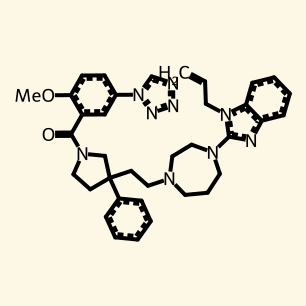 C=CCn1c(N2CCCN(CCC3(c4ccccc4)CCN(C(=O)c4cc(-n5cnnn5)ccc4OC)C3)CC2)nc2ccccc21